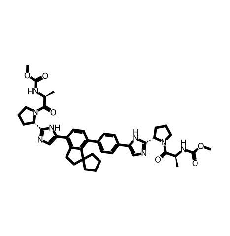 COC(=O)N[C@@H](C)C(=O)N1CCC[C@H]1c1ncc(-c2ccc(-c3ccc(-c4cnc([C@@H]5CCCN5C(=O)[C@H](C)NC(=O)OC)[nH]4)c4c3C3(CCCC3)CC4)cc2)[nH]1